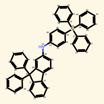 c1ccc(C2(c3ccccc3)c3ccccc3-c3ccc(Nc4ccc([Si](c5ccccc5)(c5ccccc5)c5ccccc5)cc4)cc32)cc1